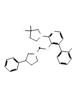 O=C(Nc1c(-c2ccccc2F)ccnc1N1CCC(F)(I)C1)N1CCC(c2ccccc2)C1